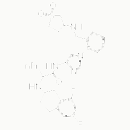 CCCC(N[C@H]1CCc2cc(F)cc(F)c2C1)C(=O)Nc1cn(-c2ccccc2CNC2CCS(=O)(=O)C2)cn1